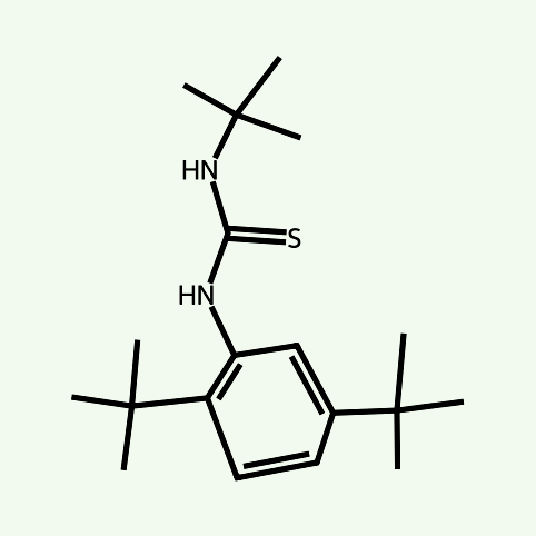 CC(C)(C)NC(=S)Nc1cc(C(C)(C)C)ccc1C(C)(C)C